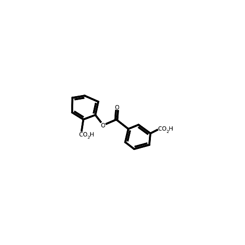 O=C(O)c1cccc(C(=O)Oc2ccccc2C(=O)O)c1